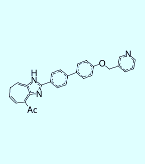 CC(=O)C1=c2nc(-c3ccc(-c4ccc(OCc5cccnc5)cc4)cc3)[nH]c2=CCC=C1